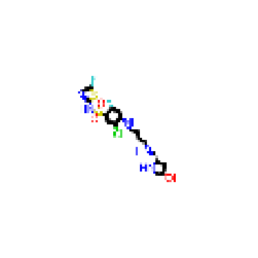 O=S(=O)(Nc1ncc(F)s1)c1cc(Cl)c(NCCCCNC[C@H]2C[C@H](O)CN2)cc1F